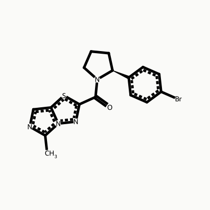 Cc1ncc2sc(C(=O)N3CCC[C@H]3c3ccc(Br)cc3)nn12